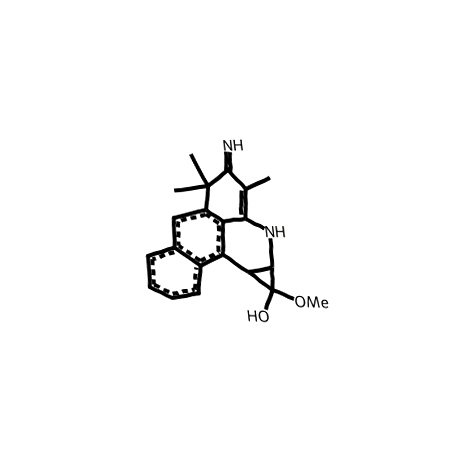 COC1(O)C2NC3=C(C)C(=N)C(C)(C)c4cc5ccccc5c(c43)C21